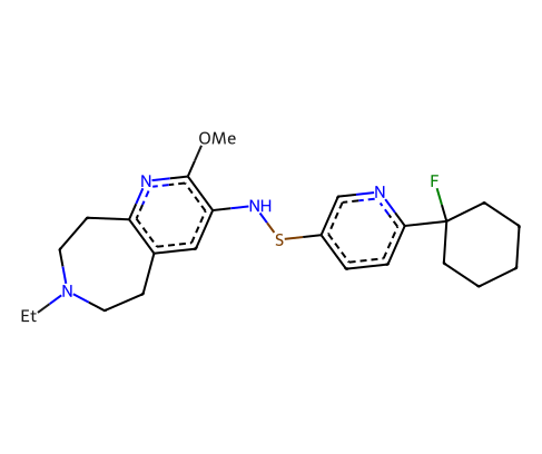 CCN1CCc2cc(NSc3ccc(C4(F)CCCCC4)nc3)c(OC)nc2CC1